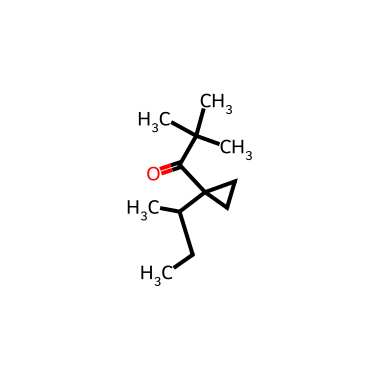 CCC(C)C1(C(=O)C(C)(C)C)CC1